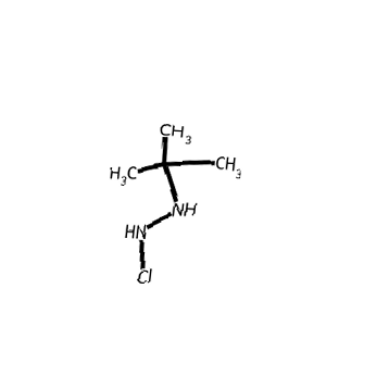 CC(C)(C)NNCl